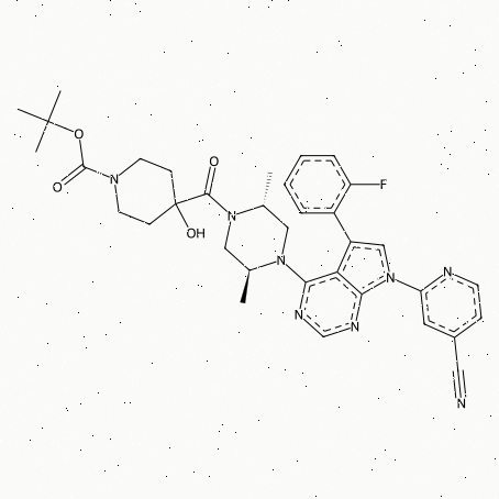 C[C@@H]1CN(c2ncnc3c2c(-c2ccccc2F)cn3-c2cc(C#N)ccn2)[C@@H](C)CN1C(=O)C1(O)CCN(C(=O)OC(C)(C)C)CC1